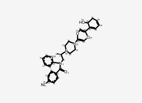 C[C@H](CN(C(=O)c1ccc(C#N)cc1)c1ccccn1)N1CCN(C2=COC(C3=CC=CCC3O)=CO2)CC1